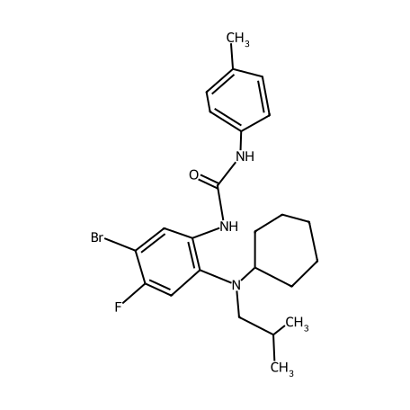 Cc1ccc(NC(=O)Nc2cc(Br)c(F)cc2N(CC(C)C)C2CCCCC2)cc1